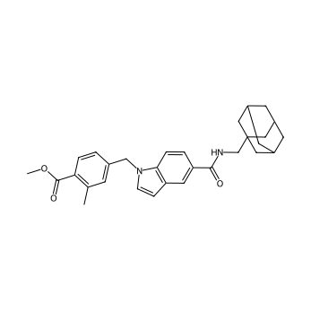 COC(=O)c1ccc(Cn2ccc3cc(C(=O)NCC45CC6CC(CC(C6)C4)C5)ccc32)cc1C